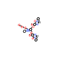 COCCOCCOCCN(NC1CCCCC1)c1cc(COc2cc3c(cc2OC)C(=O)N2c4ccccc4C[C@H]2C=N3)cc(COc2cc3c(cc2OC)C(=O)N2c4ccccc4C[C@H]2C=N3)c1